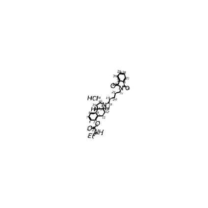 CCNC(=O)Oc1cccc2c1CC[C@@H]1[C@H]2CCN1CCCCCN1C(=O)c2ccccc2C1=O.Cl